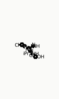 CC(C)c1c(C(=O)Nc2cccc(O)c2)nn2c(-c3cn[nH]c3)cc(N3Cc4ccc(Cl)cc4C3)nc12